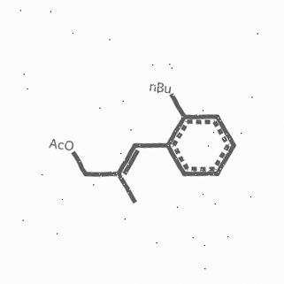 CCCCc1ccccc1/C=C(\C)COC(C)=O